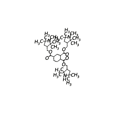 CN1C(C)(C)CC(COC(=O)C2CCC(C(=O)OCC3CC(C)(C)NC3(C)C)C(C(=O)OCC3CC(C)(C)N(C)C3(C)C)C2)C1(C)C